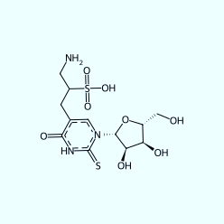 NCC(Cc1cn([C@@H]2O[C@H](CO)[C@@H](O)[C@H]2O)c(=S)[nH]c1=O)S(=O)(=O)O